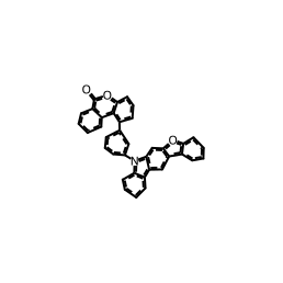 O=c1oc2cccc(-c3cccc(-n4c5ccccc5c5cc6c(cc54)oc4ccccc46)c3)c2c2ccccc12